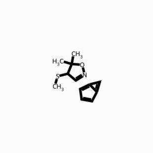 CSC1C=NOC1(C)C.c1cc2cc-2c1